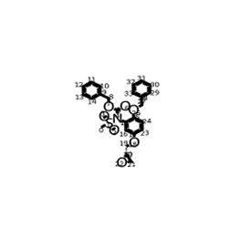 CS(=O)(=O)N(C(=O)OCc1ccccc1)c1cc(OC[C@@H]2CO2)ccc1OCc1ccccc1